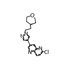 Clc1ccc2ncc(-c3cnn(CCC4CCOCC4)c3)cc2n1